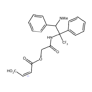 CNC(c1ccccc1)C(NC(=O)COC(=O)/C=C\C(=O)O)(c1ccccc1)C(F)(F)F